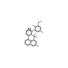 CCc1cc(C)cc(-c2nccc3c2C(C)(C)c2cc(C)cc4cccc-3c24)c1C